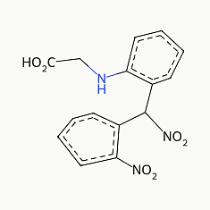 O=C(O)CNc1ccccc1C(c1ccccc1[N+](=O)[O-])[N+](=O)[O-]